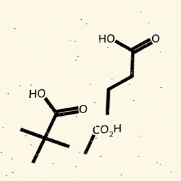 CC(=O)O.CC(C)(C)C(=O)O.CCCC(=O)O